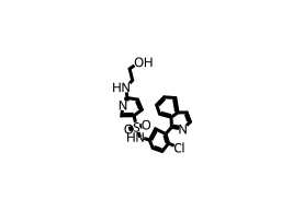 O=S(=O)(Nc1ccc(Cl)c(-c2nccc3ccccc23)c1)c1ccc(NCCO)nc1